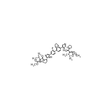 COC(=O)N[C@H](C(=O)N1CCC[C@H]1c1ncc(-c2ccc(-c3ccc(-c4cnc([C@@H]5CCCN5C(=O)[C@@H](NC(=O)OC)C(C)C)[nH]4)c4c3C3CCC4C3)c(F)c2)[nH]1)C(C)C